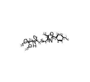 CCc1ccc(-c2nc(CSCC(=O)NCC(OC)OC)c(C)o2)cc1